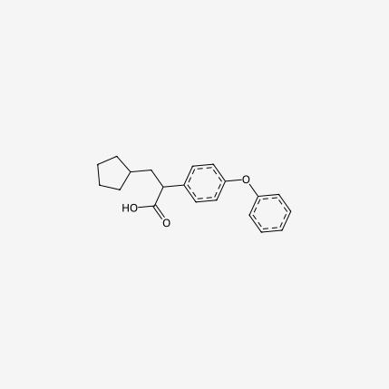 O=C(O)C(CC1CCCC1)c1ccc(Oc2ccccc2)cc1